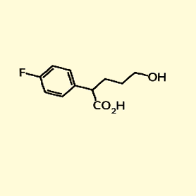 O=C(O)C(CCCO)c1ccc(F)cc1